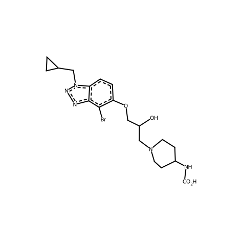 O=C(O)NC1CCN(CC(O)COc2ccc3c(nnn3CC3CC3)c2Br)CC1